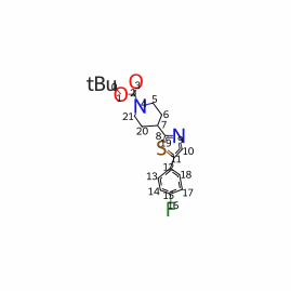 CC(C)(C)OC(=O)N1CCC(c2ncc(-c3ccc(F)cc3)s2)CC1